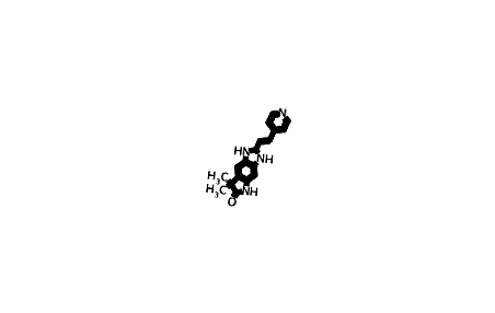 CC1(C)C(=O)Nc2cc3c(cc21)NC(C=Cc1ccncc1)N3